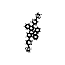 c1ccc2c(c1)-c1ccccc1C21c2cc(-c3ccc(-c4ncco4)nc3)ccc2-c2c1cc(-c1ccc(-c3ncco3)nc1)c1ccccc21